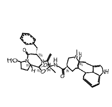 C=C1N2[C@@H](Cc3ccccc3)C(=O)N3C(O)CC[C@H]3[C@]2(O)O[C@@]1(C)NC(=O)[C@@H]1CC2C3C=CC=C4NC=C(C[C@H]2N(C)C1)C43